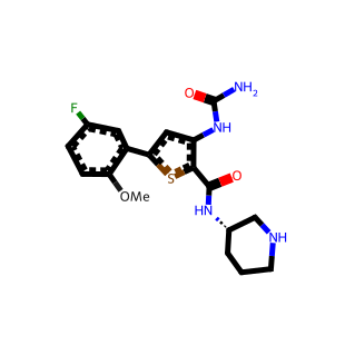 COc1ccc(F)cc1-c1cc(NC(N)=O)c(C(=O)N[C@H]2CCCNC2)s1